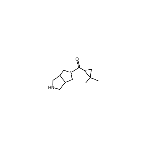 CC1(C)CC1C(=O)N1CC2CNCC2C1